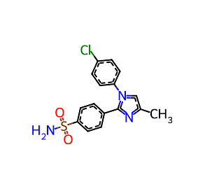 Cc1cn(-c2ccc(Cl)cc2)c(-c2ccc(S(N)(=O)=O)cc2)n1